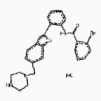 Cl.O=C(Nc1ccccc1-c1cc2ccc(CN3CCNCC3)cc2o1)c1ccccc1Br